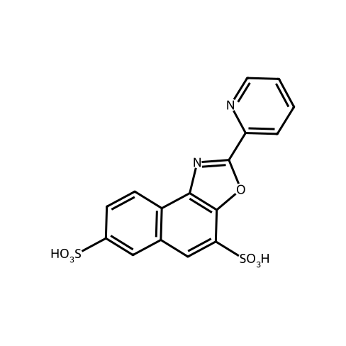 O=S(=O)(O)c1ccc2c(c1)cc(S(=O)(=O)O)c1oc(-c3ccccn3)nc12